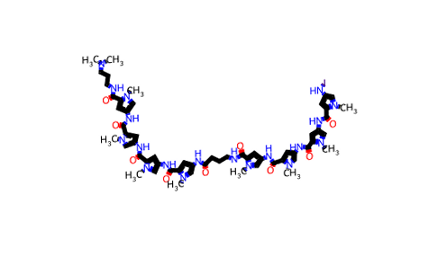 CN(C)CCCNC(=O)c1cc(NC(=O)c2cc(NC(=O)c3cc(NC(=O)c4cc(NC(=O)CCCNC(=O)c5cc(NC(=O)c6cc(NC(=O)c7cc(NC(=O)c8cc(NI)cn8C)cn7C)cn6C)cn5C)cn4C)cn3C)cn2C)cn1C